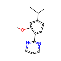 COc1cc(C(C)C)ccc1-c1ncccn1